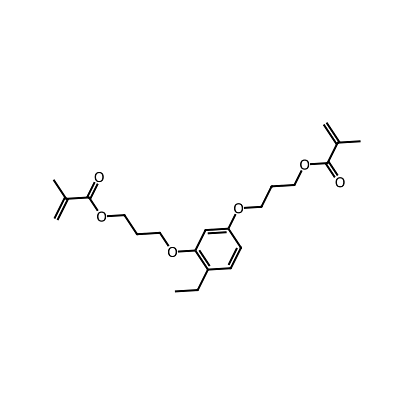 C=C(C)C(=O)OCCCOc1ccc(CC)c(OCCCOC(=O)C(=C)C)c1